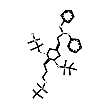 CC(C)(C[C@@H]1C/C(=C\CP(Oc2ccccc2)Oc2ccccc2)C[C@@H](O[Si](C)(C)C(C)(C)C)C1=CCCO[Si](C)(C)C(C)(C)C)[Si](C)(C)O